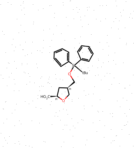 CC(C)(C)[Si](OC[C@H]1CO[C@@H](C(=O)O)C1)(c1ccccc1)c1ccccc1